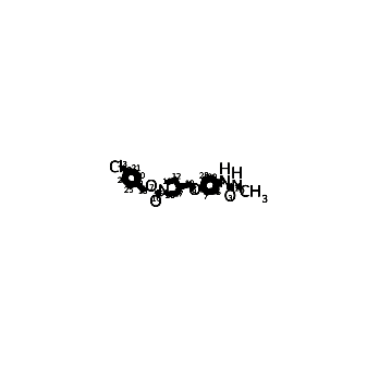 CNC(=O)Nc1ccc(OCC2CCN(C(=O)OCc3ccc(Cl)cc3)CC2)cc1